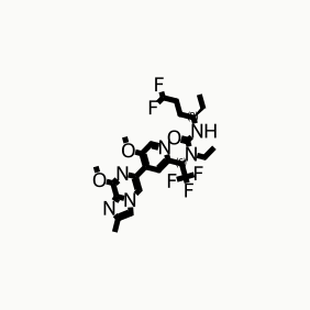 CC[C@H](CCC(F)F)NC(=O)N(CC)[C@@H](c1cc(-c2cn3cc(C)nc3c(OC)n2)c(OC)cn1)C(F)(F)F